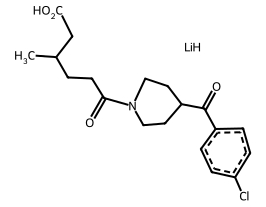 CC(CCC(=O)N1CCC(C(=O)c2ccc(Cl)cc2)CC1)CC(=O)O.[LiH]